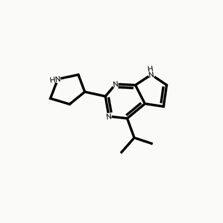 CC(C)c1nc(C2CCNC2)nc2[nH]ccc12